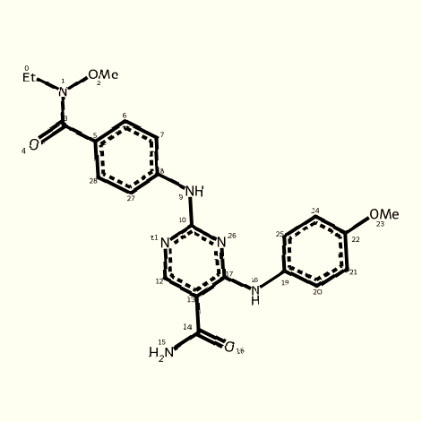 CCN(OC)C(=O)c1ccc(Nc2ncc(C(N)=O)c(Nc3ccc(OC)cc3)n2)cc1